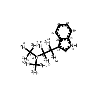 [2H]C([2H])([2H])N(C([2H])([2H])[2H])C([2H])([2H])C([2H])([2H])c1c[nH]c2ccccc12